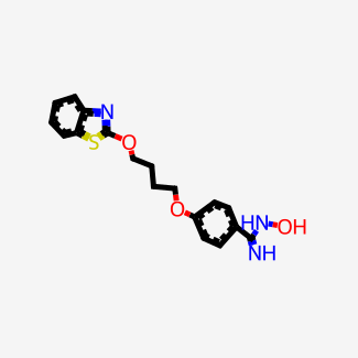 N=C(NO)c1ccc(OCCCCOc2nc3ccccc3s2)cc1